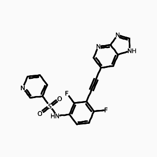 O=S(=O)(Nc1ccc(F)c(C#Cc2cnc3nc[nH]c3c2)c1F)c1cccnc1